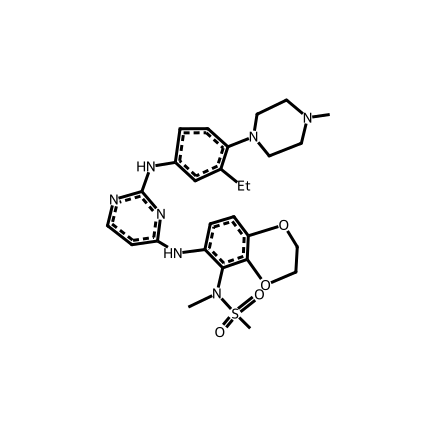 CCc1cc(Nc2nccc(Nc3ccc4c(c3N(C)S(C)(=O)=O)OCCO4)n2)ccc1N1CCN(C)CC1